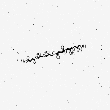 O=C(O)CCC(=O)OCC(O)COCC(O)COC(=O)CCC(=O)OCC(O)COCC(O)CO